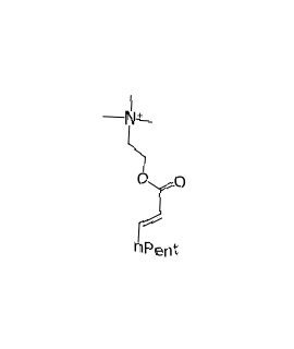 CCCCCC=CC(=O)OCC[N+](C)(C)C